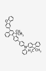 CC1(C)c2ccccc2-c2ccc(N(c3ccccc3)c3ccc(-c4ccc5c(c4)C(C)(C)c4cc(-c6ccc7oc8ccccc8c7c6)c6ccccc6c4-5)cc3)cc21